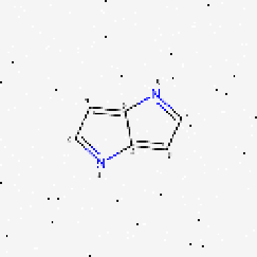 C1=NC2=CC=NC2=C1